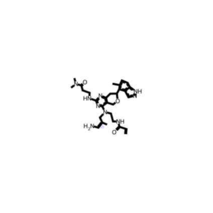 C=CC(=O)NCCN(C/C(C)=C\N)c1nc(NCCC(=O)N(C)C)nc2c1COC(c1c(C)ccc3[nH]ncc13)C2